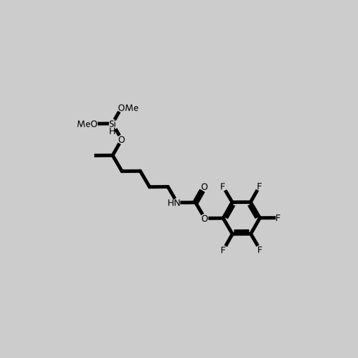 CO[SiH](OC)OC(C)CCCCNC(=O)Oc1c(F)c(F)c(F)c(F)c1F